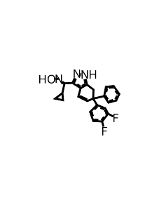 O/N=C(/c1n[nH]c2c1C=CC(c1ccccc1)(c1ccc(F)c(F)c1)C2)C1CC1